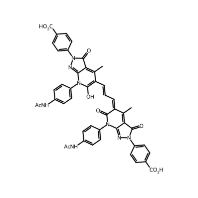 CC(=O)Nc1ccc(-n2c3nn(-c4ccc(C(=O)O)cc4)c(=O)c-3c(C)c(C=CC=c3c(C)c4c(n(-c5ccc(NC(C)=O)cc5)c3=O)=NN(c3ccc(C(=O)O)cc3)C4=O)c2O)cc1